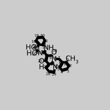 Cc1ccccc1Cn1c(=O)c(C2=NS(O)(O)c3ccccc3N2)c(O)c2cccnc21